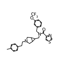 Cc1ccc(CCN2CC3C(C2)C3CN(Cc2cccc(OC(F)(F)F)c2)C(=O)c2cscn2)cc1